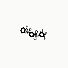 O=C(Nc1cc(F)c(F)c(F)c1)c1cc(S(=O)(=O)NC2CCCCC2)ccc1Cl